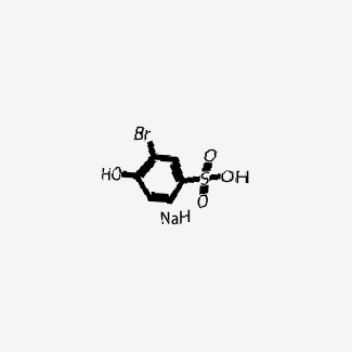 O=S(=O)(O)c1ccc(O)c(Br)c1.[NaH]